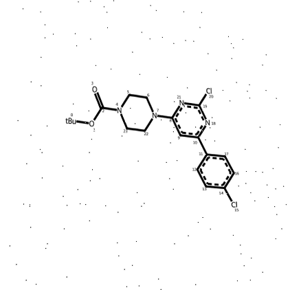 CC(C)(C)OC(=O)N1CCN(c2cc(-c3ccc(Cl)cc3)nc(Cl)n2)CC1